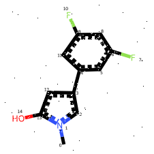 Cn1cc(-c2cc(F)cc(F)c2)cc1O